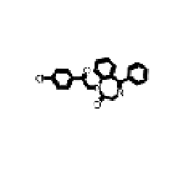 O=C(CN1C(=O)CN=C(c2ccccc2)c2ccccc21)c1ccc(Cl)cc1